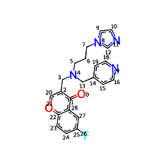 O=c1c(CN(CCCn2ccnc2)Cc2ccncc2)coc2ccc(F)cc12